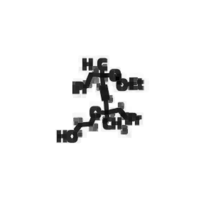 CCOOC(C)(C#CC(C)(CC(C)C)OCCO)CC(C)C